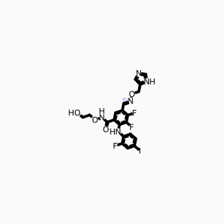 O=C(NOCCO)c1cc(/C=N/OCc2cnc[nH]2)c(F)c(F)c1Nc1ccc(I)cc1F